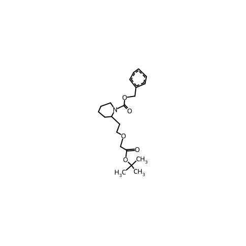 CC(C)(C)OC(=O)COCCC1CCCCN1C(=O)OCc1ccccc1